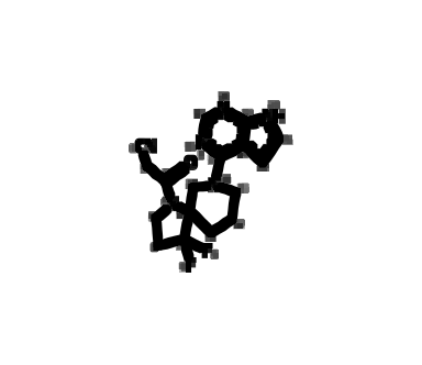 N#CCC(=O)N1CCC(F)(F)C12CCCN(c1ncnc3[nH]ccc13)C2